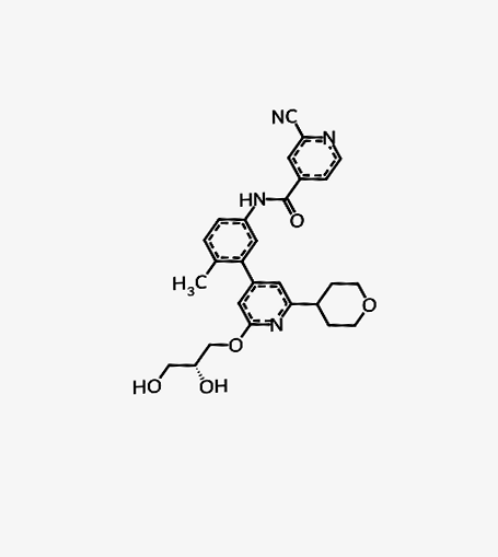 Cc1ccc(NC(=O)c2ccnc(C#N)c2)cc1-c1cc(OC[C@H](O)CO)nc(C2CCOCC2)c1